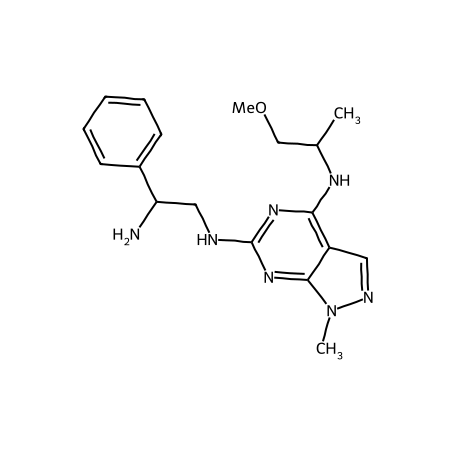 COCC(C)Nc1nc(NCC(N)c2ccccc2)nc2c1cnn2C